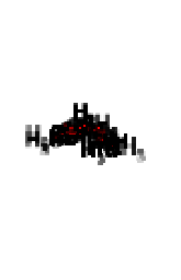 CN(C)CCNc1cccc2c1C(=O)c1cccc(NCCN(C)CCNc3cccc4c3C(=O)c3cccc(NCCN(C)C)c3C4=O)c1C2=O